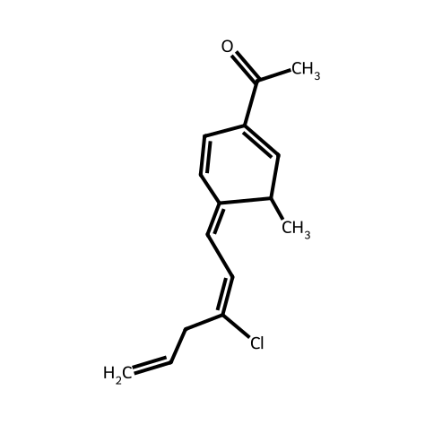 C=CC/C(Cl)=C\C=C1\C=CC(C(C)=O)=CC1C